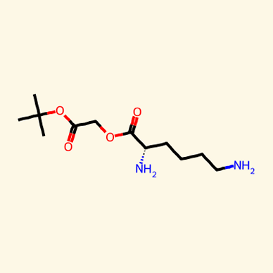 CC(C)(C)OC(=O)COC(=O)[C@@H](N)CCCCN